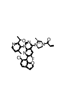 C=CC(=O)N1CCN(c2nc(=O)n(-c3c(C)ccnc3C(C)C)c3nc(-c4c(Cl)ccc5ccoc45)c(F)cc23)[C@@H](C)C1